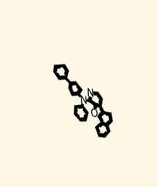 c1ccc(-c2ccc(N(c3ccccc3)c3nccc4c3oc3c5ccccc5ccc43)cc2)cc1